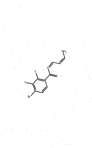 C=C(/N=C\C=C/N)c1ccc(Br)c(F)c1F